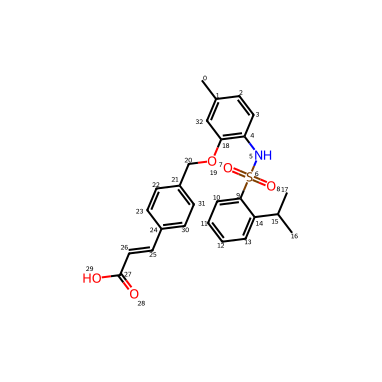 Cc1ccc(NS(=O)(=O)c2ccccc2C(C)C)c(OCc2ccc(/C=C/C(=O)O)cc2)c1